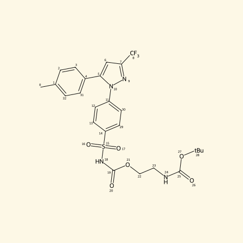 Cc1ccc(-c2cc(C(F)(F)F)nn2-c2ccc(S(=O)(=O)NC(=O)OCCNC(=O)OC(C)(C)C)cc2)cc1